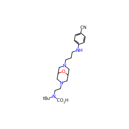 CC(C)(C)N(CCN1CC2CN(CCCNc3ccc(C#N)cc3)CC(C1)O2)C(=O)O